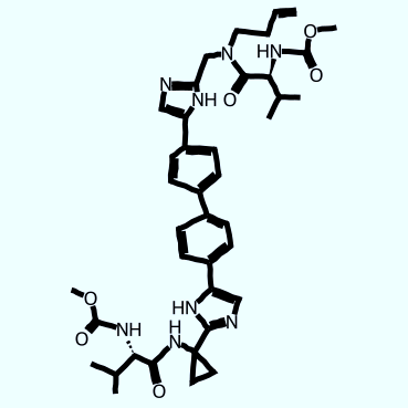 C=CCCN(Cc1ncc(-c2ccc(-c3ccc(-c4cnc(C5(NC(=O)[C@@H](NC(=O)OC)C(C)C)CC5)[nH]4)cc3)cc2)[nH]1)C(=O)[C@@H](NC(=O)OC)C(C)C